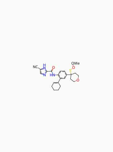 COOSC1(c2ccc(NC(=O)c3ncc(C#N)[nH]3)c(C3=CCCCC3)c2)CCOCC1